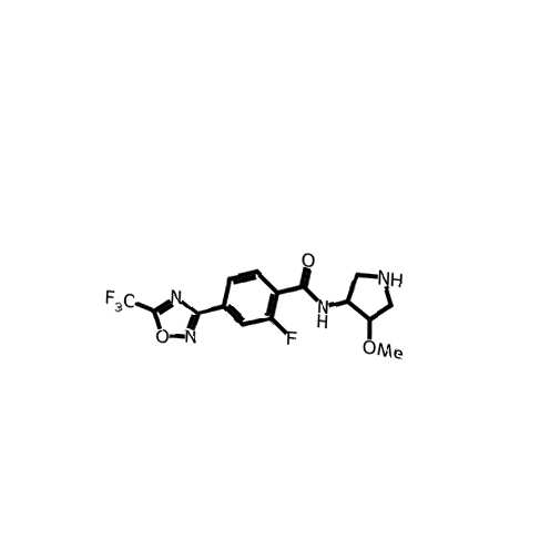 COC1CNCC1NC(=O)c1ccc(-c2noc(C(F)(F)F)n2)cc1F